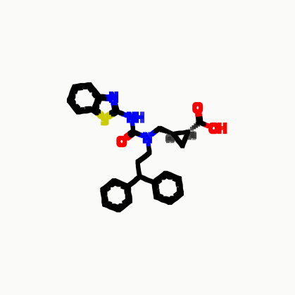 O=C(O)[C@@H]1C[C@H]1CN(CCC(c1ccccc1)c1ccccc1)C(=O)Nc1nc2ccccc2s1